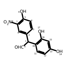 O=CC(c1ccc(O)c([N+](=O)[O-])c1)c1ccc(O)cc1O